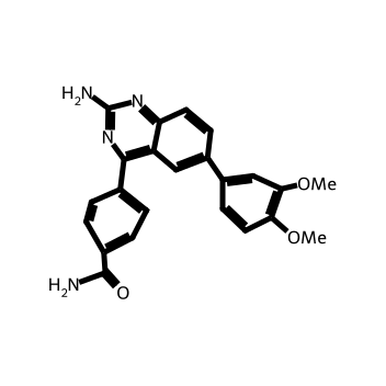 COc1ccc(-c2ccc3nc(N)nc(-c4ccc(C(N)=O)cc4)c3c2)cc1OC